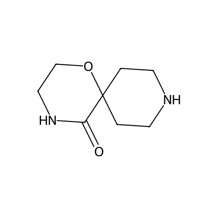 O=C1NCCOC12CCNCC2